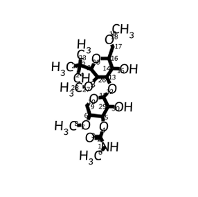 CNC(=O)OC1C(OC)COC(OC2C(O)C(COC)OC(C(C)(C)C)C2OC)C1O